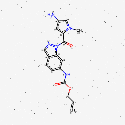 C=CCOC(=O)Nc1ccc2cnn(C(=O)c3cc(N)cn3C)c2c1